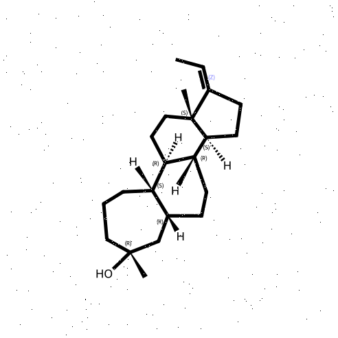 C/C=C1/CC[C@H]2[C@@H]3CC[C@@H]4C[C@](C)(O)CCC[C@@H]4[C@H]3CC[C@]12C